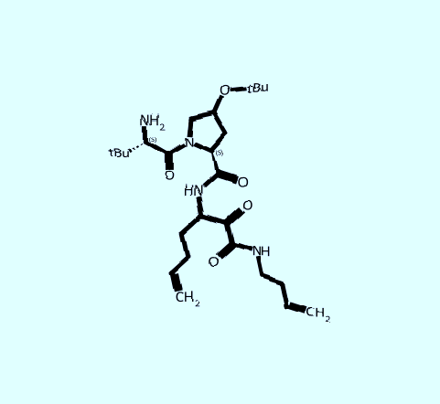 C=CCCNC(=O)C(=O)C(CCC=C)NC(=O)[C@@H]1CC(OC(C)(C)C)CN1C(=O)[C@@H](N)C(C)(C)C